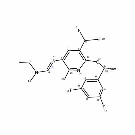 CCN(C)/C=N/c1cc(C(F)F)c(O[C@H](C)c2cc(F)cc(F)c2)nc1C